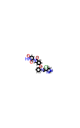 O=C1CCC(N2Cc3cc(O[C@H]4CCCC[C@H]4N4CC(c5ncncc5Cl)C4)ccc3C2=O)C(=O)N1